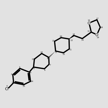 Clc1ccc(C2CCC([C@H]3CC[C@H](CCC4OCCO4)CC3)CC2)cc1